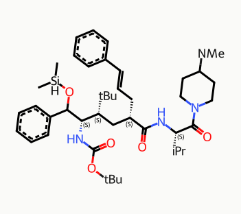 CNC1CCN(C(=O)[C@@H](NC(=O)[C@@H](CC=Cc2ccccc2)C[C@H]([C@H](NC(=O)OC(C)(C)C)C(O[SiH](C)C)c2ccccc2)C(C)(C)C)C(C)C)CC1